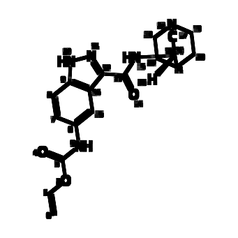 C=COC(=O)Nc1ccc2[nH]nc(C(=O)N[C@@H]3CN4CCC3CC4)c2c1